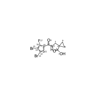 O=C(NCC1(C(=O)O)CC1)c1sc(Br)c(Br)c1F